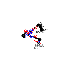 C=C(/C(CC)=C(/CC)c1cc(OCCOCNC(=O)CNC(=O)C(Cc2ccccc2)NC(=O)CNC(=O)CNC(=O)CCc2cccc(N3C(=O)CC(C(CC)CC)C3=O)c2)ccc1C)/C(C)=C/C(=C(/CC)C(C)=O)C(C)CC